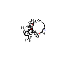 CC(C)[C@H]1NC(=O)[C@H]2CSSCC/C=C/[C@H](CC(=O)N[C@H](Cc3cccc(C(F)(F)F)c3)C(=O)N2)OC(=O)C[C@@H]1O